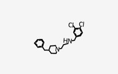 Clc1ccc(CNCCCN2CCC(Cc3ccccc3)CC2)cc1Cl